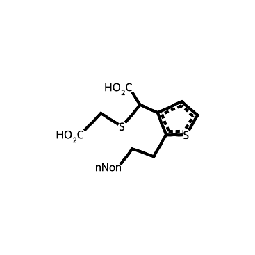 CCCCCCCCCCCc1sccc1C(SCC(=O)O)C(=O)O